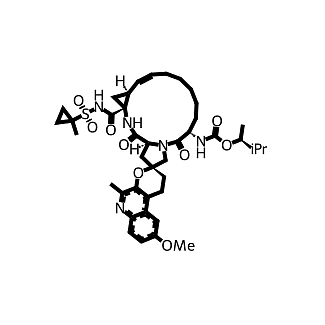 COc1ccc2nc(C)c3c(c2c1)CC[C@]1(C[C@H]2C(=O)N[C@]4(C(=O)NS(=O)(=O)C5(C)CC5)C[C@H]4/C=C\CCCCC[C@H](NC(=O)O[C@@H](C)C(C)C)C(=O)N2C1)O3